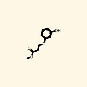 COC(=O)CCOc1cccc(O)c1